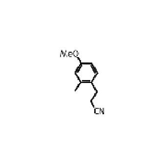 COc1ccc(CCC#N)c(C)c1